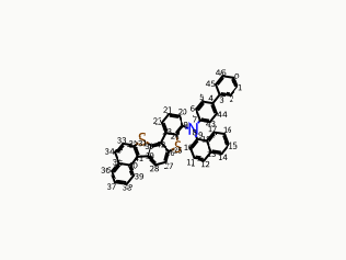 c1ccc(-c2ccc(N(c3cccc4ccccc34)c3cccc4c3sc3ccc5c(sc6ccc7ccccc7c65)c34)cc2)cc1